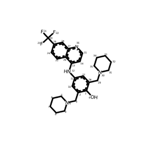 Oc1c(CN2CCCCC2)cc(Nc2ccnc3cc(C(F)(F)F)ccc23)cc1CN1CCCCC1